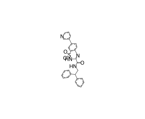 O=C(NCC(c1ccccc1)c1ccccc1)C1=Nc2ccc(-c3cccnc3)cc2S(=O)(=O)N1